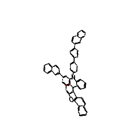 c1cc(-c2ccc3ccccc3c2)cc(N(c2ccc(-c3ccc(-c4ccc5ccccc5c4)cc3)cc2)c2ccccc2-c2cccc3oc4c5ccccc5ccc4c23)c1